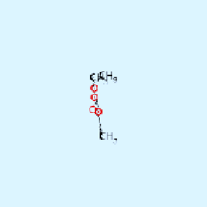 CCCCCCCCOC(=O)CCCOCCOCC(CC)CCCC